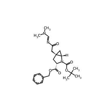 CN(C)/C=N/C(=O)C[C@@]12C[C@@H]1N(C(=O)OC(C)(C)C)[C@H](C(=O)OCc1ccccc1)C2